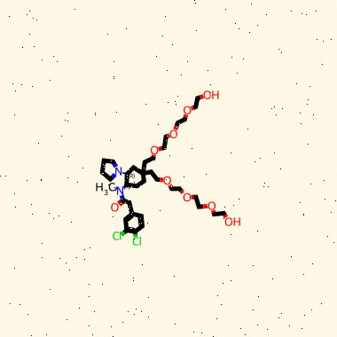 CN(C(=O)Cc1ccc(Cl)c(Cl)c1)[C@@H]1CCC(CCOCCOCCOCCO)(CCOCCOCCOCCO)C[C@H]1N1CCCC1